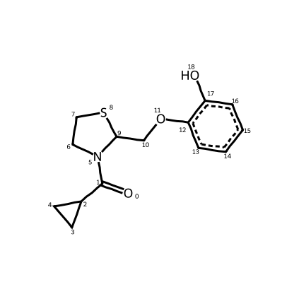 O=C(C1CC1)N1CCSC1COc1ccccc1O